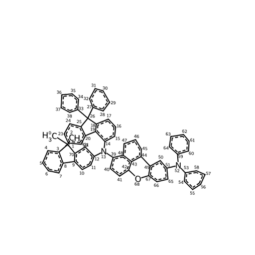 CC1(C)c2ccccc2-c2ccc(N(c3cccc4c3-c3ccccc3C4(c3ccccc3)c3ccccc3)c3ccc4c5c(cccc35)-c3cc(N(c5ccccc5)c5ccccc5)ccc3O4)cc21